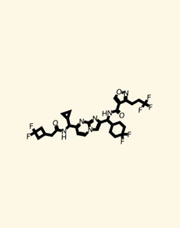 O=C(CC1CC(F)(F)C1)NC(c1ccn2cc(C(NC(=O)c3conc3CCC(F)(F)F)C3CCC(F)(F)CC3)nc2n1)C1CC1